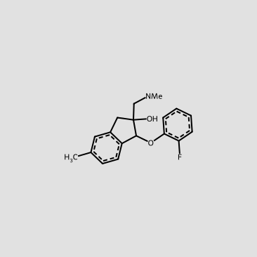 CNCC1(O)Cc2cc(C)ccc2C1Oc1ccccc1F